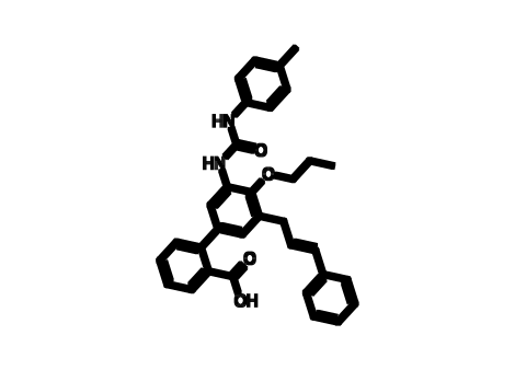 CCCOc1c(C/C=C/c2ccccc2)cc(-c2ccccc2C(=O)O)cc1NC(=O)Nc1ccc(C)cc1